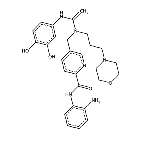 C=C(Nc1ccc(O)c(O)c1)N(CCCN1CCOCC1)Cc1ccc(C(=O)Nc2ccccc2N)nc1